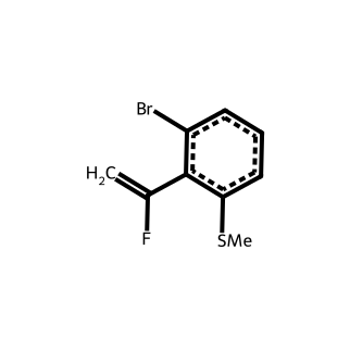 C=C(F)c1c(Br)cccc1SC